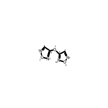 c1nonc1Oc1cnon1